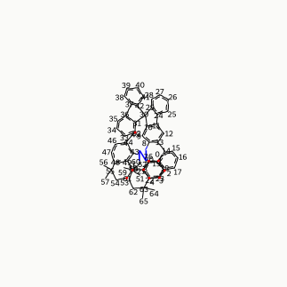 Cc1ccc2c(c1N(c1cc3c(cc1-c1cccc4c1CCCC4)-c1ccccc1C31c3ccccc3-c3ccccc31)c1c(C)ccc3c1C(C)(C)CCC3(C)C)C(C)(C)CCC2(C)C